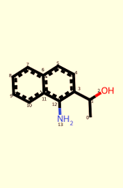 CC(O)c1ccc2ccccc2c1N